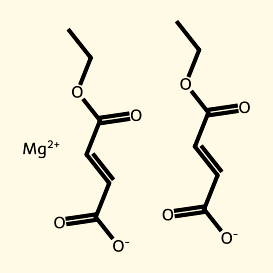 CCOC(=O)C=CC(=O)[O-].CCOC(=O)C=CC(=O)[O-].[Mg+2]